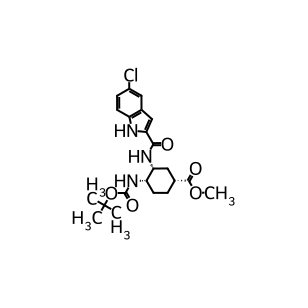 COC(=O)[C@@H]1CC[C@H](NC(=O)OC(C)(C)C)[C@H](NC(=O)c2cc3cc(Cl)ccc3[nH]2)C1